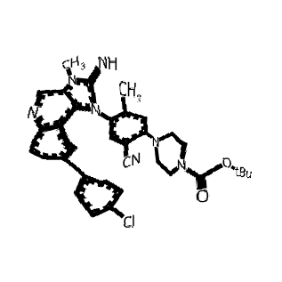 Cc1cc(N2CCN(C(=O)OC(C)(C)C)CC2)c(C#N)cc1-n1c(=N)n(C)c2cnc3ccc(-c4ccc(Cl)cc4)cc3c21